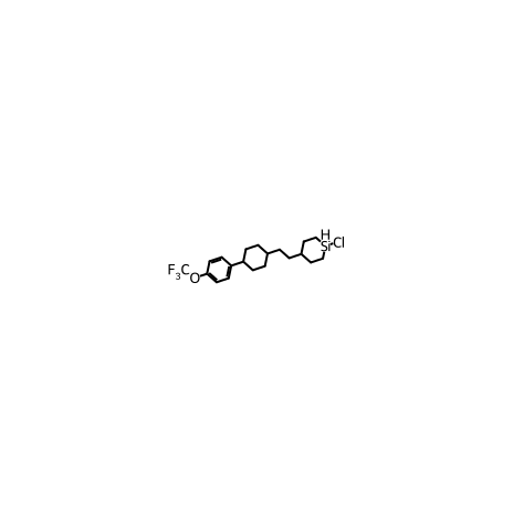 FC(F)(F)Oc1ccc(C2CCC(CCC3CC[SiH](Cl)CC3)CC2)cc1